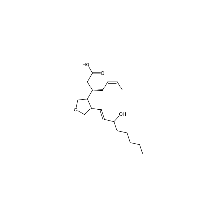 C/C=C\C[C@H](CC(=O)O)C1COC[C@@H]1/C=C/C(O)CCCCC